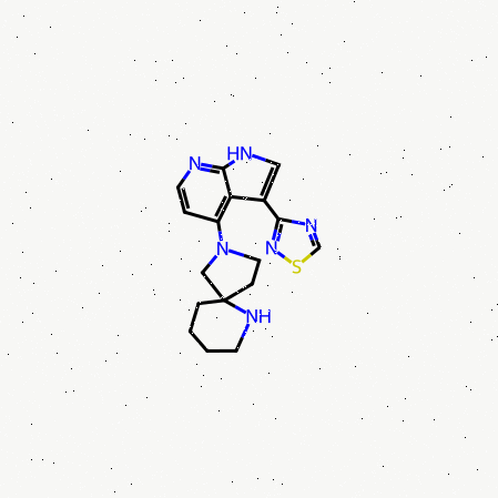 c1cc(N2CCC3(CCCCN3)C2)c2c(-c3ncsn3)c[nH]c2n1